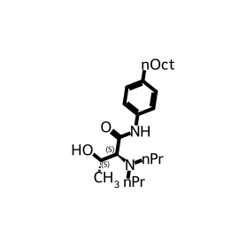 CCCCCCCCc1ccc(NC(=O)[C@H]([C@H](C)O)N(CCC)CCC)cc1